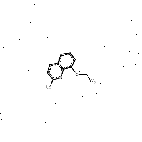 CCc1ccc2cccc(OCC(F)(F)F)c2n1